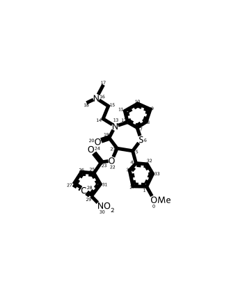 COc1ccc(C2Sc3ccccc3N(CCN(C)C)C(=O)C2OC(=O)c2cccc([N+](=O)[O-])c2)cc1